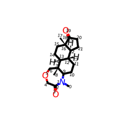 CN1C(=O)COC[C@@]2(C)C1CC[C@@H]1[C@@H]2CC[C@]2(C)C(=O)CC[C@@H]12